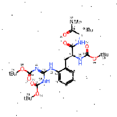 CC[C@H](C)[C@H](NC(=O)[C@H](Cc1ccccc1N/C(=N/C(=O)OC(C)(C)C)NC(=O)OC(C)(C)C)NC(=O)OC(C)(C)C)C(=O)NC